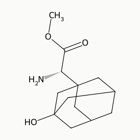 COC(=O)[C@@H](N)C12CC3CC(CC(O)(C3)C1)C2